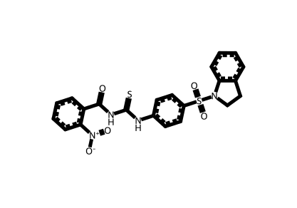 O=C(NC(=S)Nc1ccc(S(=O)(=O)N2CCc3ccccc32)cc1)c1ccccc1[N+](=O)[O-]